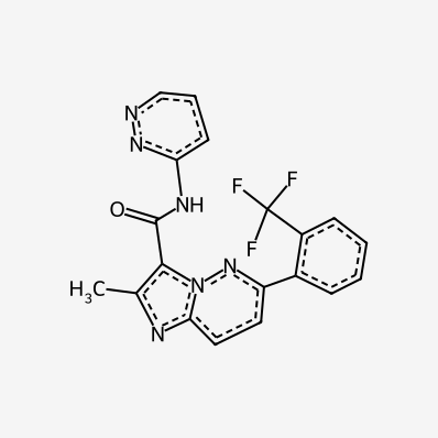 Cc1nc2ccc(-c3ccccc3C(F)(F)F)nn2c1C(=O)Nc1cccnn1